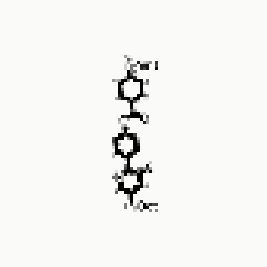 CCCCCCCCc1cnc(-c2ccc(OC(=O)C3CCC(CCCCC)CC3)cc2)c(Cl)c1